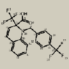 O=C(O)C1(C(F)(F)F)C=Cc2ccccc2N1Cc1ccc(C(F)(F)F)cc1